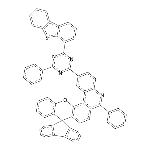 c1ccc(-c2nc(-c3ccc4nc(-c5ccccc5)c5ccc6c(c5c4c3)Oc3ccccc3C63c4ccccc4-c4ccccc43)nc(-c3cccc4c3sc3ccccc34)n2)cc1